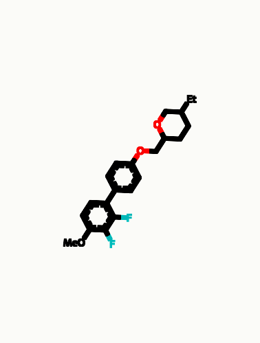 CCC1CCC(COc2ccc(-c3ccc(OC)c(F)c3F)cc2)OC1